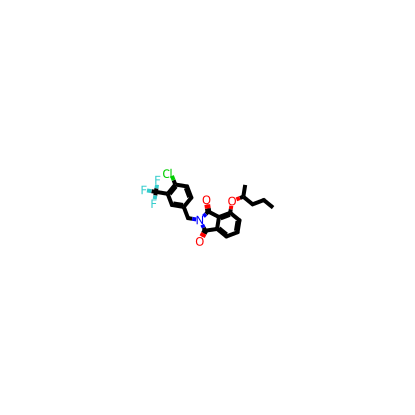 CCCC(C)Oc1cccc2c1C(=O)N(Cc1ccc(Cl)c(C(F)(F)F)c1)C2=O